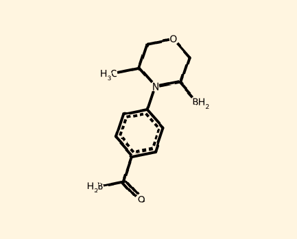 BC(=O)c1ccc(N2C(B)COCC2C)cc1